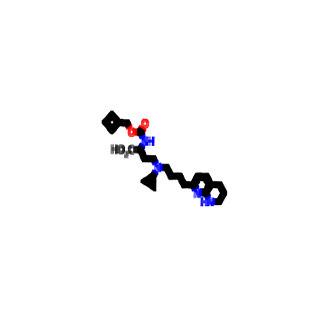 O=C(NC(CCN(CCCCc1ccc2c(n1)NCCC2)C1CC1)C(=O)O)OCC1CCC1